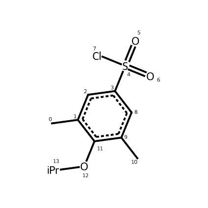 Cc1cc(S(=O)(=O)Cl)cc(C)c1OC(C)C